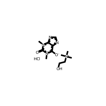 C[N+](C)(C)CCO.Cl.Cn1c2ncnc-2c([O-])n(C)c1=O